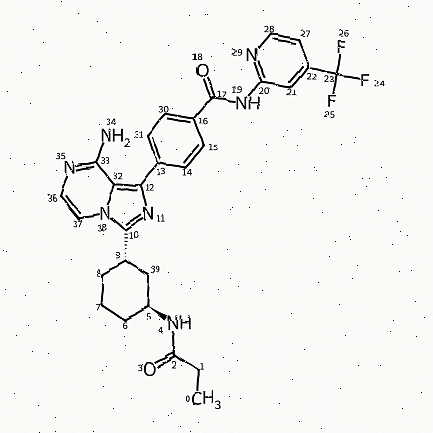 CCC(=O)N[C@H]1CCC[C@H](c2nc(-c3ccc(C(=O)Nc4cc(C(F)(F)F)ccn4)cc3)c3c(N)nccn23)C1